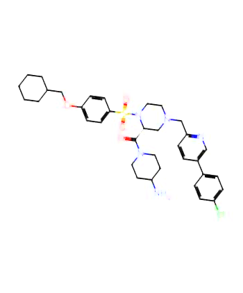 NC1CCN(C(=O)[C@@H]2CN(Cc3ccc(-c4ccc(Cl)cc4)cn3)CCN2S(=O)(=O)c2ccc(OCC3CCCCC3)cc2)CC1